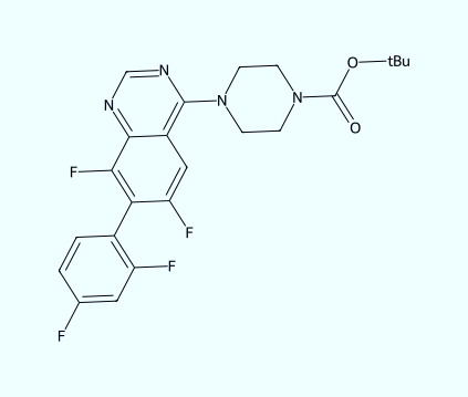 CC(C)(C)OC(=O)N1CCN(c2ncnc3c(F)c(-c4ccc(F)cc4F)c(F)cc23)CC1